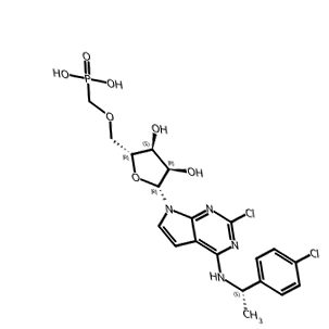 C[C@H](Nc1nc(Cl)nc2c1ccn2[C@@H]1O[C@H](COCP(=O)(O)O)[C@@H](O)[C@H]1O)c1ccc(Cl)cc1